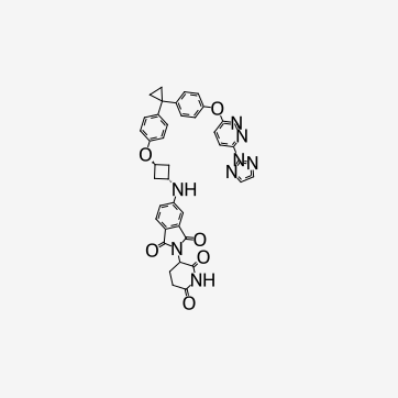 O=C1CCC(N2C(=O)c3ccc(N[C@H]4C[C@H](Oc5ccc(C6(c7ccc(Oc8ccc(-n9nccn9)nn8)cc7)CC6)cc5)C4)cc3C2=O)C(=O)N1